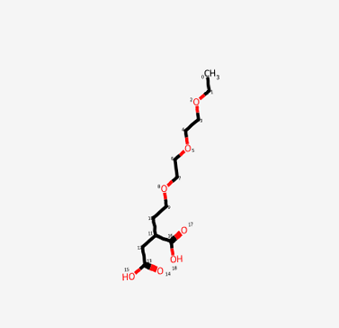 CCOCCOCCOCCC(CC(=O)O)C(=O)O